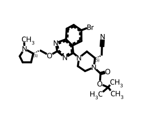 CN1CCC[C@H]1COc1nc(N2CCN(C(=O)OC(C)(C)C)[C@@H](CC#N)C2)c2cc(Br)ccc2n1